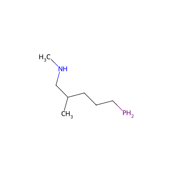 CNCC(C)CCCP